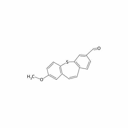 COc1ccc2c(c1)C=Cc1ccc(C=O)cc1S2